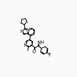 Cc1ncc(-c2cccn3c(C4CCCC4)ncc23)cc1C(=O)C(=N)C1C=CC(F)=CC1